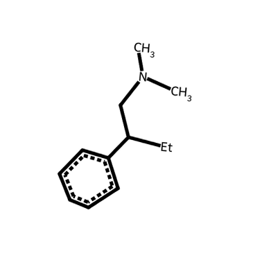 CCC(CN(C)C)c1ccccc1